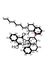 CCCCCCCN1CCc2ccccc2[C@H]1C[C@H]1C(OC(=O)c2ccccc2C(=O)O)[C@H]2c3ccccc3CCN2C[C@@H]1CC